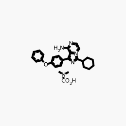 CN(C)C(=O)O.Nc1nccn2c(C3CCCCC3)nc(-c3ccc(Oc4ccccc4)cc3)c12